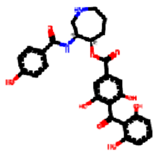 O=C(N[C@H]1CNCCC[C@H]1OC(=O)c1cc(O)c(C(=O)c2c(O)cccc2O)c(O)c1)c1ccc(O)cc1